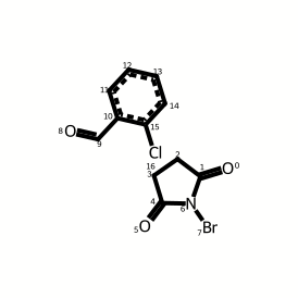 O=C1CCC(=O)N1Br.O=Cc1ccccc1Cl